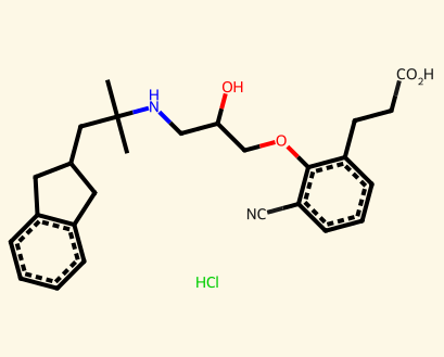 CC(C)(CC1Cc2ccccc2C1)NCC(O)COc1c(C#N)cccc1CCC(=O)O.Cl